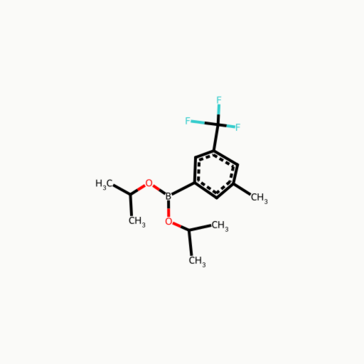 Cc1cc(B(OC(C)C)OC(C)C)cc(C(F)(F)F)c1